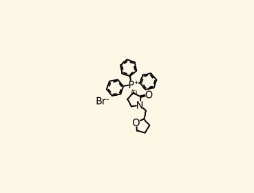 O=C1[C@@H]([P+](c2ccccc2)(c2ccccc2)c2ccccc2)CCN1CC1CCCO1.[Br-]